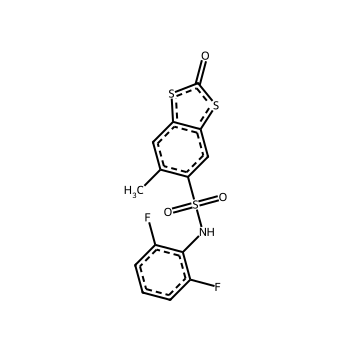 Cc1cc2sc(=O)sc2cc1S(=O)(=O)Nc1c(F)cccc1F